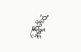 CCN1CCCCCN(CC)n2cc(C(=O)NCc3ccc(F)cc3F)c(=O)c(O)c2C1=O